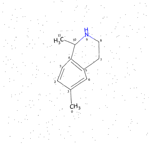 Cc1ccc2c(c1)CCNC2C